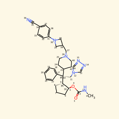 CNC(=O)O[C@H]1CCC[C@@H]1[C@@](Cn1cnnc1)(c1ccccc1)C1CCN(CC2CN(c3ccc(C#N)cc3)C2)CC1